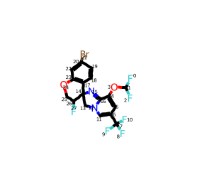 FC(F)OC1=CC(C(F)(F)F)=CN2CC3(N=C12)c1ccc(Br)cc1OCC3F